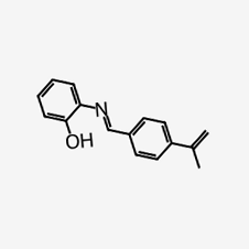 C=C(C)c1ccc(C=Nc2ccccc2O)cc1